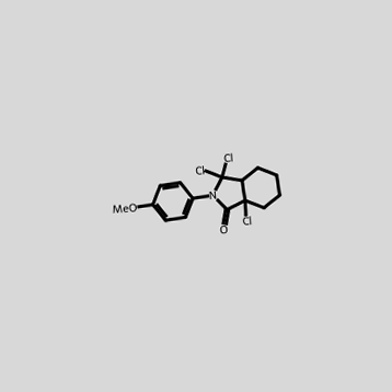 COc1ccc(N2C(=O)C3(Cl)CCCCC3C2(Cl)Cl)cc1